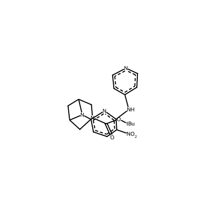 CC(C)(C)OC(=O)N1CC2CC(C1)N2c1ccc([N+](=O)[O-])c(Nc2ccncc2)n1